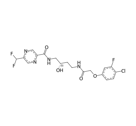 O=C(COc1ccc(Cl)c(F)c1)NCC[C@H](O)CNC(=O)c1cnc(C(F)F)cn1